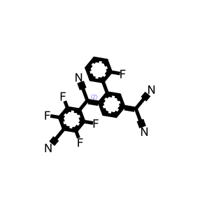 N#CC(C#N)=c1cc/c(=C(/C#N)c2c(F)c(F)c(C#N)c(F)c2F)c(-c2ccccc2F)c1